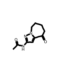 CC(=O)Nc1cc2n(n1)CCCCC2=O